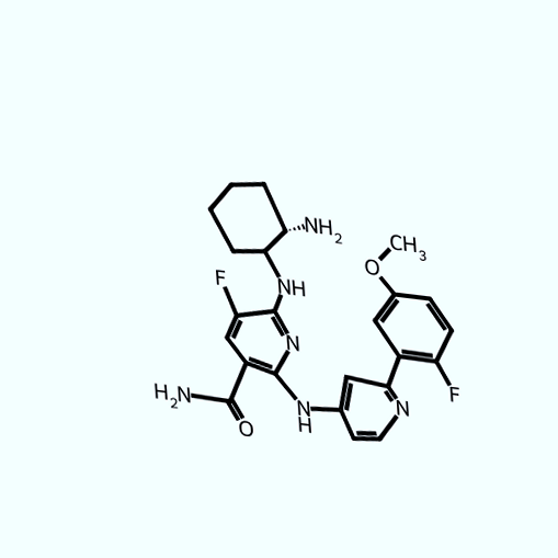 COc1ccc(F)c(-c2cc(Nc3nc(NC4CCCC[C@@H]4N)c(F)cc3C(N)=O)ccn2)c1